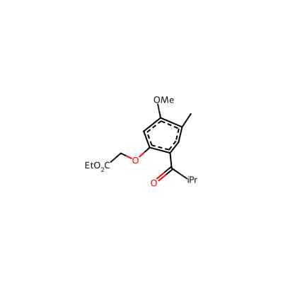 CCOC(=O)COc1cc(OC)c(C)cc1C(=O)C(C)C